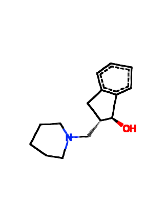 O[C@@H]1c2ccccc2C[C@H]1CN1CCCCC1